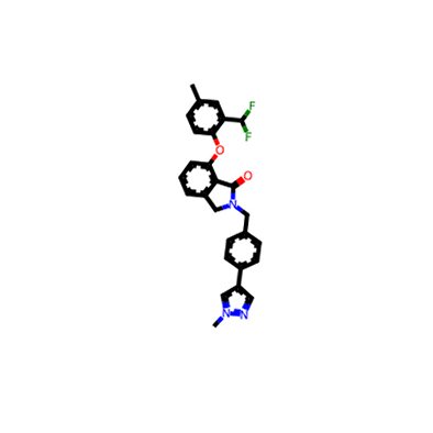 Cc1ccc(Oc2cccc3c2C(=O)N(Cc2ccc(-c4cnn(C)c4)cc2)C3)c(C(F)F)c1